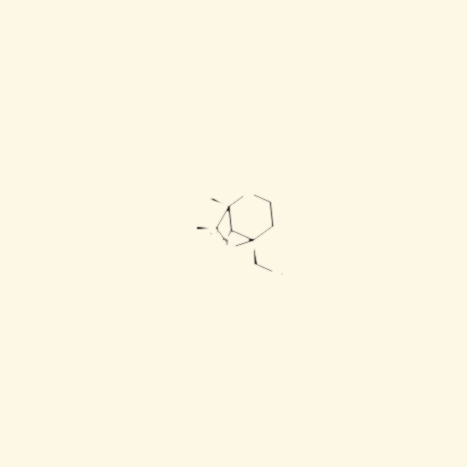 B[C@@H]1O[C@@]2(CO)CCO[C@@H]1[C@@H]2O